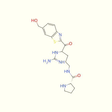 N=C(N)NC(CCCNC(=O)[C@@H]1CCCN1)C(=O)c1nc2ccc(CO)cc2s1